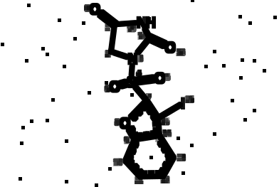 O=C1CN(S(=O)(=O)c2oc3ccccc3c2I)C(=O)N1